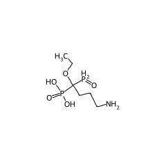 CCOC(CCCN)([PH2]=O)P(=O)(O)O